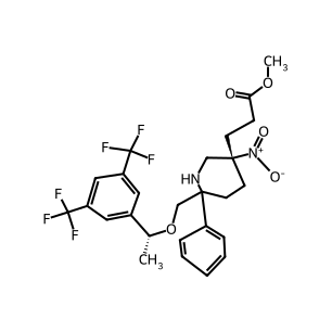 COC(=O)CC[C@@]1([N+](=O)[O-])CCC(CO[C@H](C)c2cc(C(F)(F)F)cc(C(F)(F)F)c2)(c2ccccc2)NC1